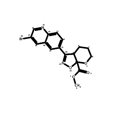 COC(=O)C12OCCCC1C(c1ccc3ncc(Br)cc3c1)=NO2